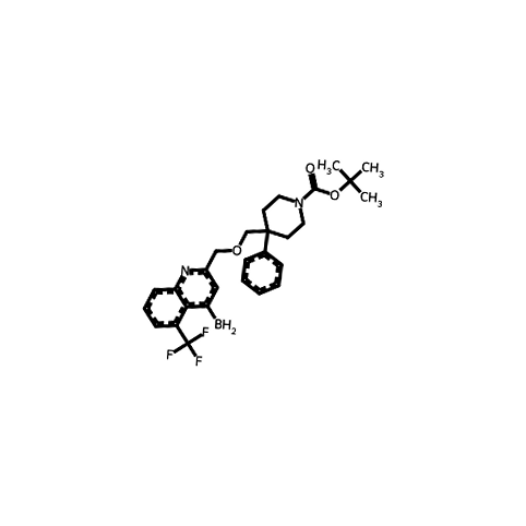 Bc1cc(COCC2(c3ccccc3)CCN(C(=O)OC(C)(C)C)CC2)nc2cccc(C(F)(F)F)c12